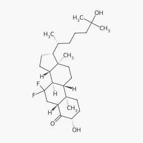 C[C@H](CCCC(C)(C)O)[C@H]1CC[C@H]2[C@H]3[C@H](CC[C@]12C)[C@@]1(C)CC[C@H](O)C(=O)[C@@H]1CC3(F)F